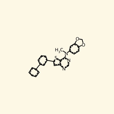 CN(c1ccc2c(c1)OCO2)c1ncnc2cc(-c3cccc(-c4ccccc4)c3)sc12